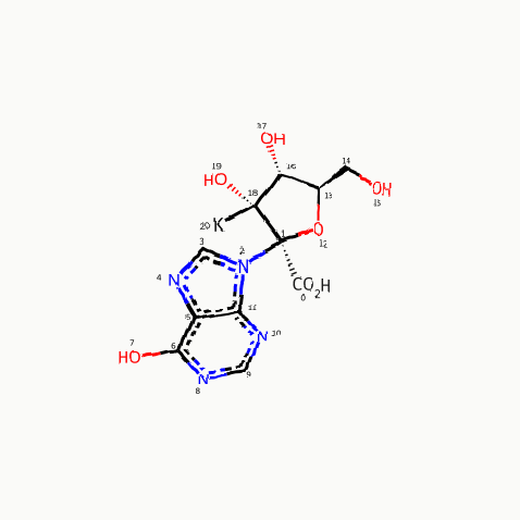 O=C(O)[C@@]1(n2cnc3c(O)ncnc32)O[C@H](CO)[C@@H](O)[C@]1(O)[K]